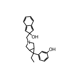 CCC1(c2cccc(O)c2)C2CN(CC3(O)C=c4ccccc4=C3)CC21